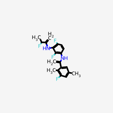 C=C(Nc1ccc(F)c(NC(=C)C(C)F)c1F)c1cc(C)cc(F)c1C